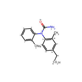 COc1ccccc1N(C(N)=O)c1ccc(CC(=O)O)cc1C